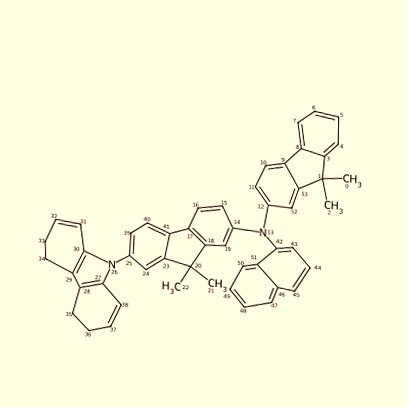 CC1(C)c2ccccc2-c2ccc(N(c3ccc4c(c3)C(C)(C)c3cc(-n5c6c(c7c5C=CCC7)CCC=C6)ccc3-4)c3cccc4ccccc34)cc21